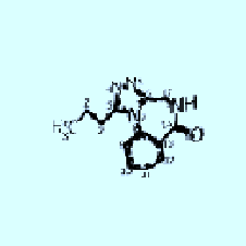 CCCc1nnc2n1-c1ccccc1C(=O)NC2